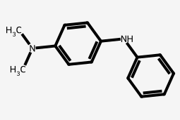 CN(C)c1ccc(Nc2ccccc2)cc1